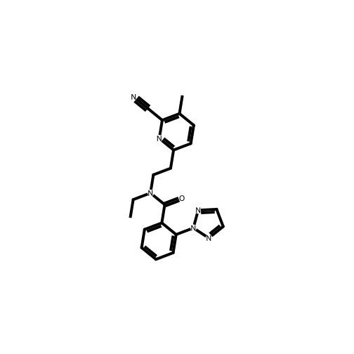 CCN(CCc1ccc(C)c(C#N)n1)C(=O)c1ccccc1-n1nccn1